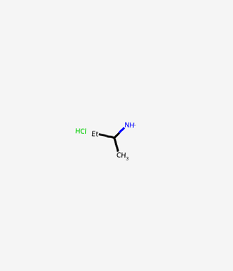 CCC(C)[NH].Cl